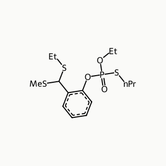 CCCSP(=O)(OCC)Oc1ccccc1C(SC)SCC